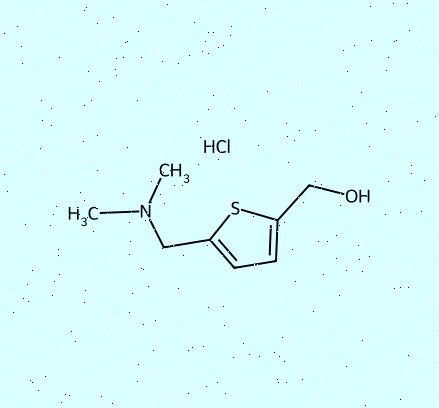 CN(C)Cc1ccc(CO)s1.Cl